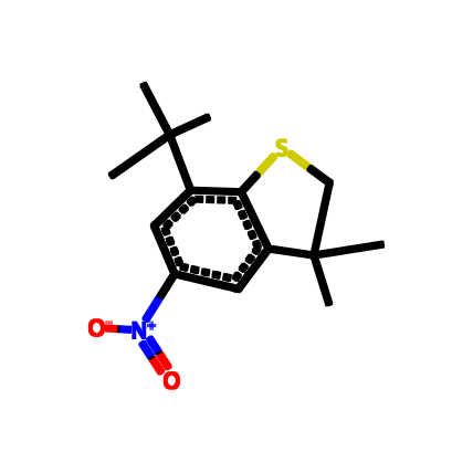 CC(C)(C)c1cc([N+](=O)[O-])cc2c1SCC2(C)C